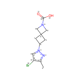 Cc1nn(C2CC3(C2)CN(C(=O)O)C3)cc1Br